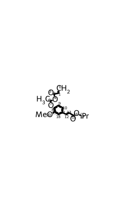 C=CC(=O)OC(C)Oc1ccc(/C=C/C(=O)OC(C)C)cc1OC